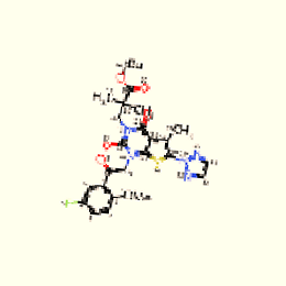 COc1ccc(F)cc1C(=O)Cn1c(=O)n(CC(C)(C)C(=O)OC(C)(C)C)c(=O)c2c(C)c(-n3nccn3)sc21